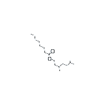 CCCCCCCC(=O)OCCC(C)CCC(C)C